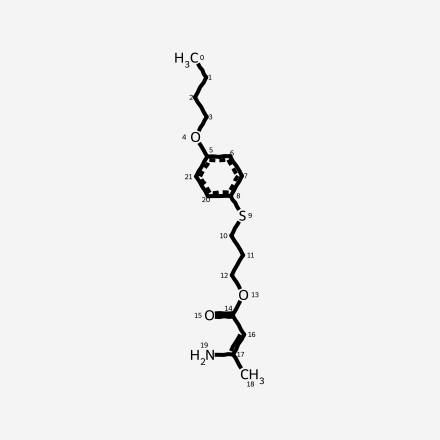 CCCCOc1ccc(SCCCOC(=O)/C=C(/C)N)cc1